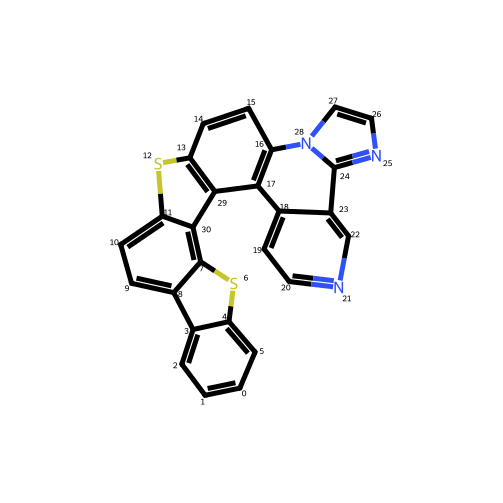 c1ccc2c(c1)sc1c2ccc2sc3ccc4c(c5ccncc5c5nccn45)c3c21